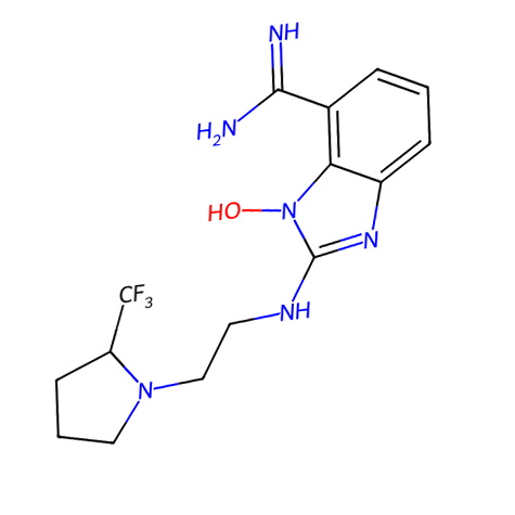 N=C(N)c1cccc2nc(NCCN3CCCC3C(F)(F)F)n(O)c12